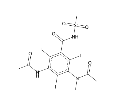 CC(=O)Nc1c(I)c(C(=O)NS(C)(=O)=O)c(I)c(N(C)C(C)=O)c1I